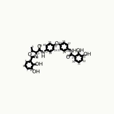 CC1OC(c2cccc(O)c2O)=NC1C(=O)Nc1ccc(Oc2ccc(NC(=O)c3cccc(O)c3O)cc2)cc1